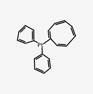 C1=CC=C[C]([Pt]([c]2ccccc2)[c]2ccccc2)=CC=C1